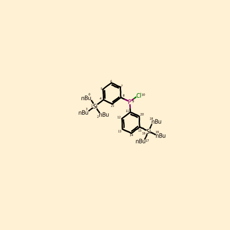 CCCC[Si](CCCC)(CCCC)c1cccc(P(Cl)c2cccc([Si](CCCC)(CCCC)CCCC)c2)c1